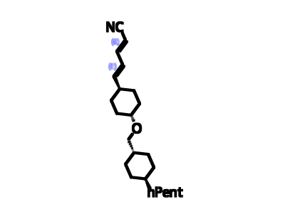 CCCCC[C@H]1CC[C@H](CO[C@H]2CC[C@H](/C=C/C=C/C#N)CC2)CC1